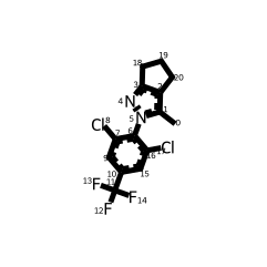 Cc1c2c(nn1-c1c(Cl)cc(C(F)(F)F)cc1Cl)CCC2